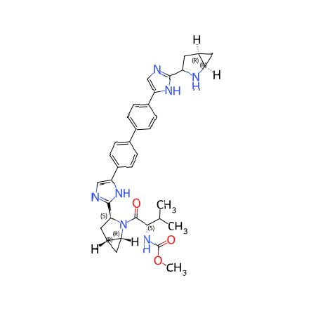 COC(=O)N[C@H](C(=O)N1[C@@H]2C[C@@H]2C[C@H]1c1ncc(-c2ccc(-c3ccc(-c4cnc(C5C[C@H]6C[C@H]6N5)[nH]4)cc3)cc2)[nH]1)C(C)C